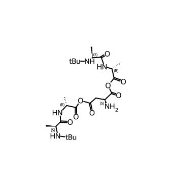 C[C@H](NC(C)(C)C)C(=O)N[C@H](C)C(=O)OC(=O)C[C@H](N)C(=O)OC(=O)[C@@H](C)NC(=O)[C@H](C)NC(C)(C)C